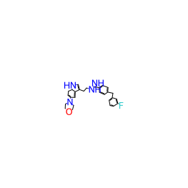 N=C(NCCC1=CNC2CC=C(N3CCOCC3)C=C12)c1ccc(Cc2cccc(F)c2)cc1